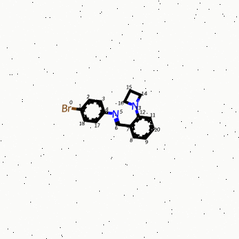 Brc1ccc(N=Cc2ccccc2N2CCC2)cc1